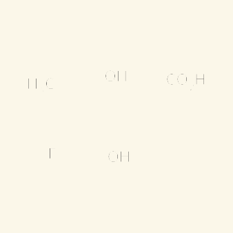 CC(F)C(O)(O)CC(=O)O